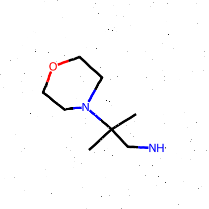 CC(C)(C[NH])N1CCOCC1